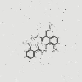 CO/C=C(/C(=O)OC)c1cccc(C)c1CO/N=C(\C)c1ccccc1OC